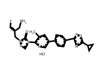 Cc1cc(-c2ccc(-c3noc(C4CC4)n3)cc2)cnc1-n1cnn(C/C(=C/F)CN)c1=O.Cl